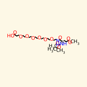 COC(=O)CC[C@H](NC(=O)OC(C)(C)C)C(=O)NCCOCCOCCOCCOCCOCCOCCC(=O)O